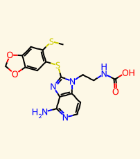 CSc1cc2c(cc1Sc1nc3c(N)nccc3n1CCNC(=O)O)OCO2